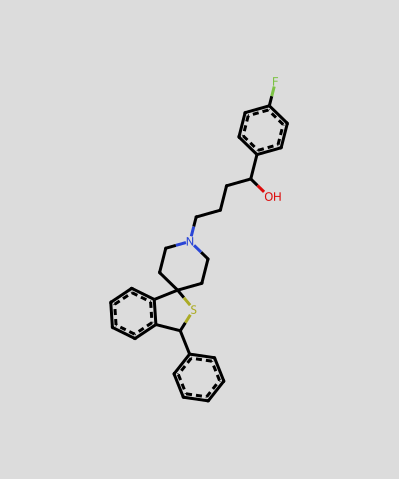 OC(CCCN1CCC2(CC1)SC(c1ccccc1)c1ccccc12)c1ccc(F)cc1